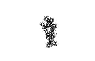 c1ccc(N(c2ccccc2)c2cc3c4c(c2)-n2c5cc6c(cc5c5cccc(c52)B4c2cccc4c5ccccc5n-3c24)c2cccc3c2n6-c2cccc4c2B3c2cc3c5ccccc5n(-c5ccccc5)c3cc2O4)cc1